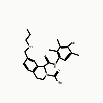 Cc1cc(NC(=O)C2c3cc(CNCCF)ccc3CCN2C(=O)C(C)(C)C)c(C)c(C)c1O